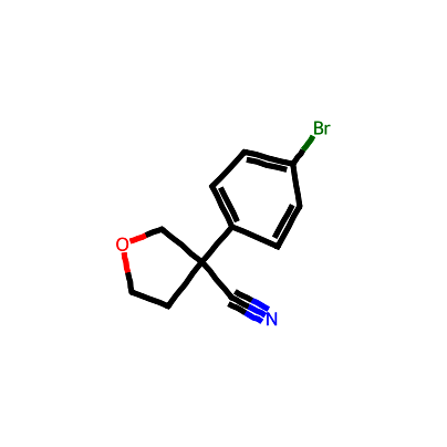 N#CC1(c2ccc(Br)cc2)CCOC1